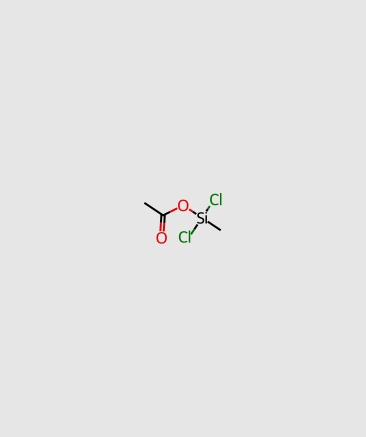 CC(=O)O[Si](C)(Cl)Cl